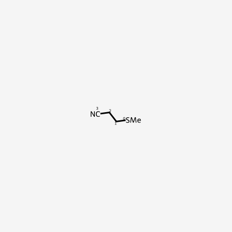 CSCCC#N